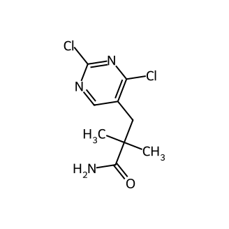 CC(C)(Cc1cnc(Cl)nc1Cl)C(N)=O